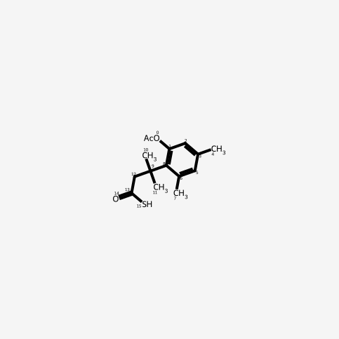 CC(=O)Oc1cc(C)cc(C)c1C(C)(C)CC(=O)S